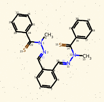 CN(/N=C/c1ccccc1/C=N/N(C)C(=S)c1ccccc1)C(=S)c1ccccc1